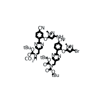 Cn1nc(Br)cc1Oc1cc(C#N)ccc1-c1ncc(CN(C(=O)OC(C)(C)C)C(=O)OC(C)(C)C)cn1.Cn1nc(N)cc1Oc1cc(C#N)ccc1-c1ncc(CN(C(=O)O)C(=O)OC(C)(C)C)cn1